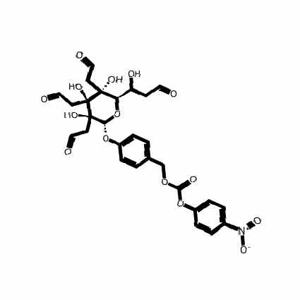 O=CCC(O)[C@H]1O[C@H](Oc2ccc(COC(=O)Oc3ccc([N+](=O)[O-])cc3)cc2)[C@](O)(CC=O)[C@](O)(CC=O)[C@@]1(O)CC=O